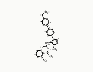 Cc1noc(-c2ccc(-c3ccc(CC(=O)O)cc3)cc2)c1NC(=O)OC(C)c1ccccc1C(F)(F)F